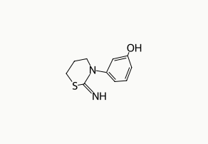 N=C1SCCCN1c1cccc(O)c1